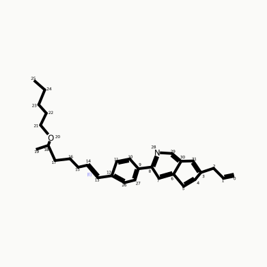 C=CCc1ccc2cc(-c3ccc(/C=C/CCCC(C)OCCCCC)cc3)ncc2c1